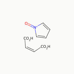 O=C(O)/C=C\C(=O)O.O=[N+]1C=CC=C1